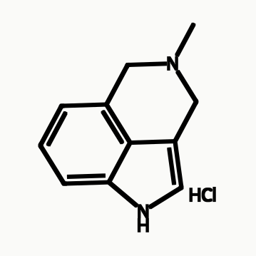 CN1Cc2cccc3[nH]cc(c23)C1.Cl